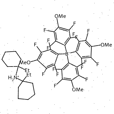 CCC1([NH2+]C2(CC)CCCCC2)CCCCC1.COc1c(F)c(F)c([B-](c2c(F)c(F)c(OC)c(F)c2F)(c2c(F)c(F)c(OC)c(F)c2F)c2c(F)c(F)c(OC)c(F)c2F)c(F)c1F